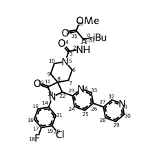 CC[C@H](C)[C@H](NC(=O)N1CCC2(CC1)C(=O)N(c1ccc(F)c(Cl)c1)C2c1ccc(-c2cccnc2)cn1)C(=O)OC